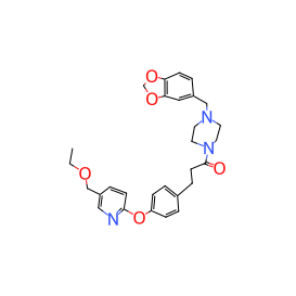 CCOCc1ccc(Oc2ccc(CCC(=O)N3CCN(Cc4ccc5c(c4)OCO5)CC3)cc2)nc1